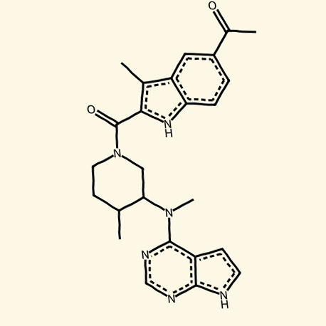 CC(=O)c1ccc2[nH]c(C(=O)N3CCC(C)C(N(C)c4ncnc5[nH]ccc45)C3)c(C)c2c1